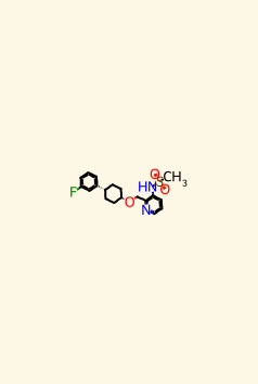 CS(=O)(=O)Nc1cccnc1CO[C@H]1CC[C@@H](c2cccc(F)c2)CC1